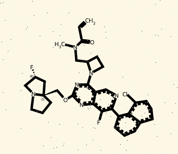 C=CC(=O)N(C)CC1CCN1c1nc(OC[C@@]23CCCN2C[C@H](F)C3)nc2c(F)c(-c3cccc4cccc(Cl)c34)ncc12